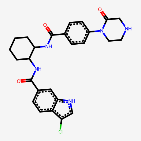 O=C(NC1CCCCC1NC(=O)c1ccc2c(Cl)c[nH]c2c1)c1ccc(N2CCNCC2=O)cc1